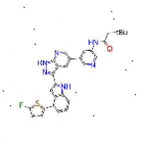 CC(C)(C)CC(=O)Nc1cncc(-c2cnc3[nH]nc(-c4cc5c(-c6ccc(F)s6)cccc5[nH]4)c3c2)c1